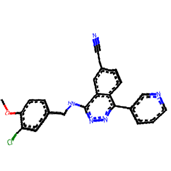 COc1ccc(CNc2nnc(-c3cccnc3)c3ccc(C#N)cc23)cc1Cl